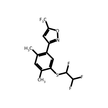 Cc1cc(C)c(-c2cc(C(F)(F)F)on2)cc1SC(F)C(F)F